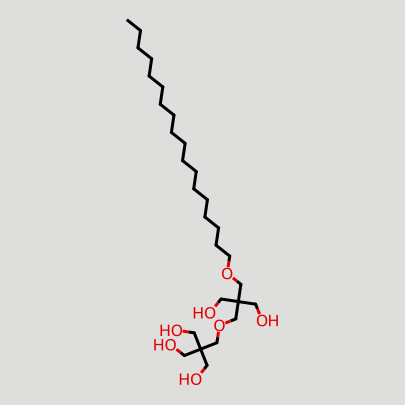 CCCCCCCCCCCCCCCCCCOCC(CO)(CO)COCC(CO)(CO)CO